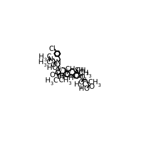 CC(C)C1=C2[C@H]3CC[C@@H]4[C@@]5(C)CC[C@H](OC(=O)CC(C)(C)C(=O)O)C(C)(C)C5(S)CC[C@@]4(C)[C@]3(C)CC[C@@]2([C@H](O)CN(Cc2ccc(Cl)cc2)C(=O)CN(C)C)CC1=O